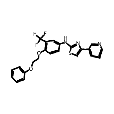 FC(F)(F)c1cc(Nc2nc(-c3cccnc3)cs2)ccc1OCCOc1ccccc1